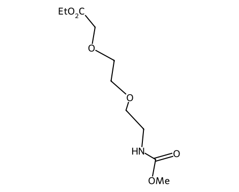 CCOC(=O)COCCOCCNC(=O)OC